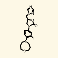 O=C1OC(Cn2cncn2)CN1c1ccc(N2CCCSCCC2)c(F)c1